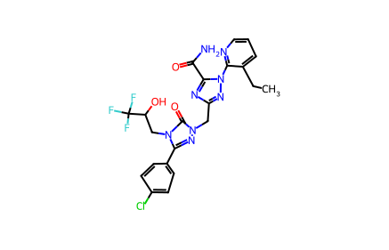 CCc1cccnc1-n1nc(Cn2nc(-c3ccc(Cl)cc3)n(CC(O)C(F)(F)F)c2=O)nc1C(N)=O